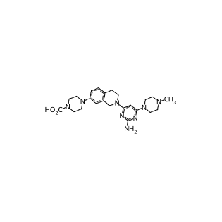 CN1CCN(c2cc(N3CCc4ccc(N5CCN(C(=O)O)CC5)cc4C3)nc(N)n2)CC1